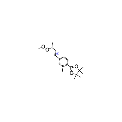 COOC(C)/C=C/c1ccc(P2OC(C)(C)C(C)(C)O2)c(C)c1